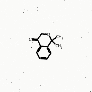 CC1(C)OCC(=O)c2ccccc21